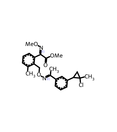 CO/N=C(/C(=O)OC)c1cccc(C)c1CO/N=C(\C)c1cccc(C2CC2(C)Cl)c1